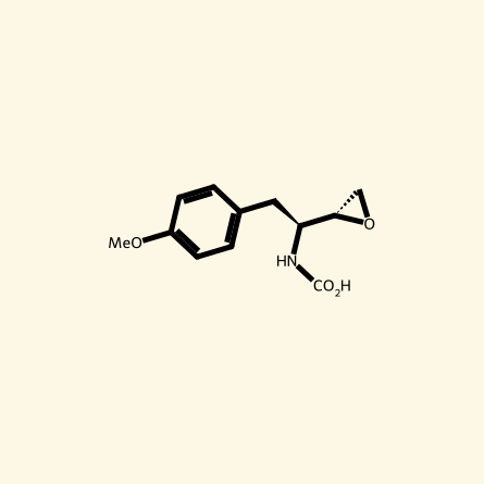 COc1ccc(C[C@H](NC(=O)O)[C@@H]2CO2)cc1